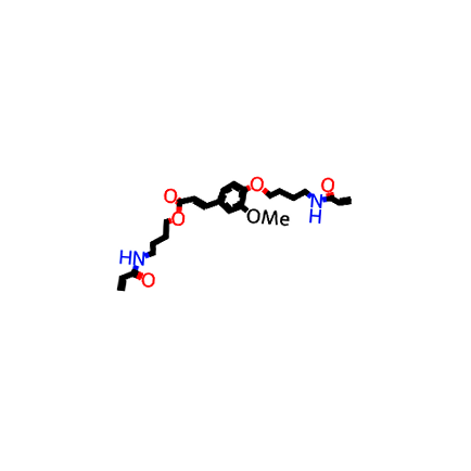 C=CC(=O)NCCCCOC(=O)C=Cc1ccc(OCCCCNC(=O)C=C)c(OC)c1